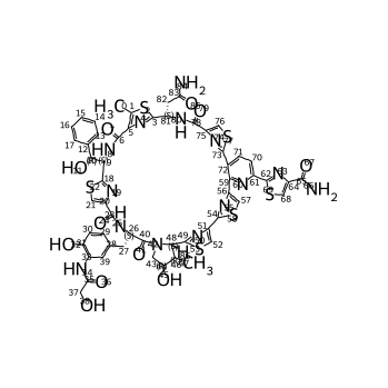 Cc1sc2nc1C(=O)N[C@@H]([C@H](O)c1ccccc1)c1nc(cs1)C(=O)N[C@@H](Cc1ccc(O)c(NC(=O)CO)c1)C(=O)N1C[C@H](O)[C@H](C)[C@H]1c1nc(cs1)-c1nc(cs1)-c1nc(-c3nc(C(N)=O)cs3)ccc1-c1nc(cs1)C(=O)N[C@H]2CC(N)=O